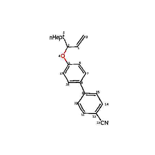 C=CC(CCCCCCC)Oc1ccc(-c2ccc(C#N)cc2)cc1